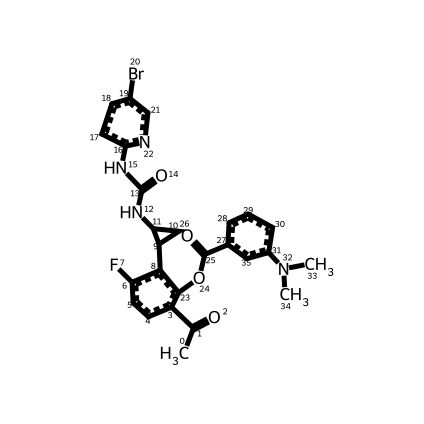 CC(=O)c1ccc(F)c(C2CC2NC(=O)Nc2ccc(Br)cn2)c1OC(=O)c1cccc(N(C)C)c1